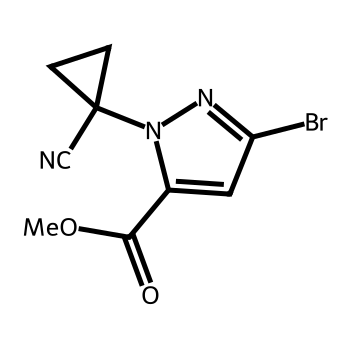 COC(=O)c1cc(Br)nn1C1(C#N)CC1